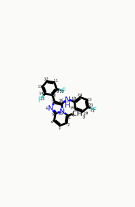 Cc1cccc2nc(-c3c(F)cccc3F)c(Nc3ccc(F)cc3)n12